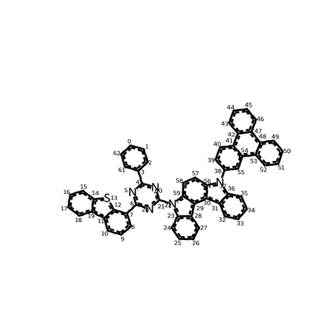 c1ccc(-c2nc(-c3cccc4c3sc3ccccc34)nc(-n3c4ccccc4c4c5c6ccccc6n(-c6ccc7c8ccccc8c8ccccc8c7c6)c5ccc43)n2)cc1